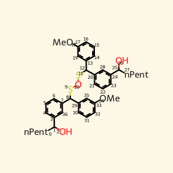 CCCCCC(O)c1cccc(C(SOSC(c2cccc(OC)c2)c2cccc(C(O)CCCCC)c2)c2cccc(OC)c2)c1